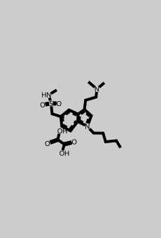 CCCCCn1cc(CCN(C)C)c2cc(CS(=O)(=O)NC)ccc21.O=C(O)C(=O)O